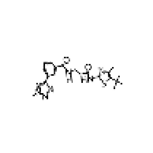 Cc1nc(NC(=O)CCNC(=O)c2cccc(-c3nnn(C)n3)c2)sc1C(C)(C)C